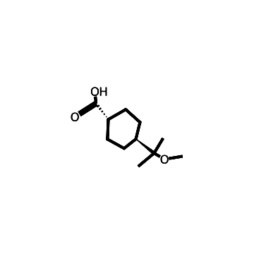 COC(C)(C)[C@H]1CC[C@H](C(=O)O)CC1